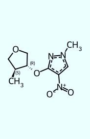 C[C@H]1COC[C@@H]1Oc1nn(C)cc1[N+](=O)[O-]